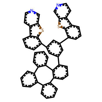 c1ccc2c(c1)-c1ccccc1-c1cccc(-c3cc(-c4cccc5c4sc4cnccc45)cc(-c4cccc5c4sc4cnccc45)c3)c1-c1ccccc1-2